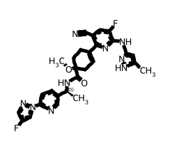 COC1(C(=O)N[C@@H](C)c2ccc(-n3cc(F)cn3)nc2)CC=C(c2nc(Nc3cc(C)[nH]n3)c(F)cc2C#N)CC1